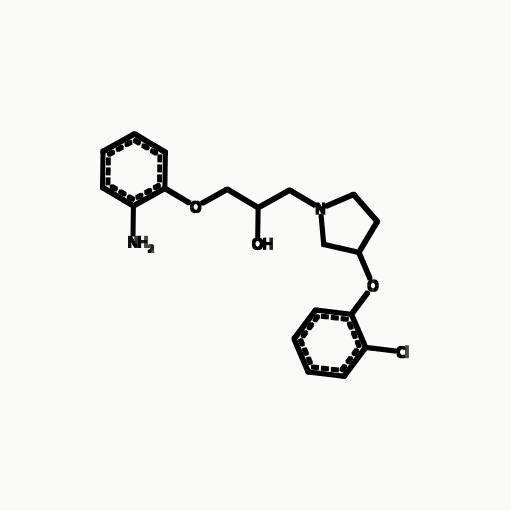 Nc1ccccc1OCC(O)CN1CCC(Oc2ccccc2Cl)C1